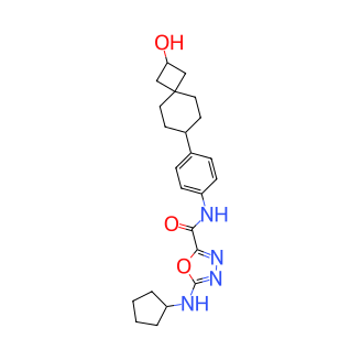 O=C(Nc1ccc(C2CCC3(CC2)CC(O)C3)cc1)c1nnc(NC2CCCC2)o1